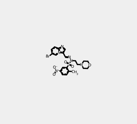 Cc1ccc([N+](=O)[O-])cc1S(=O)(=O)N(CCN1CCOCC1)N=Cc1cnc2ccc(Br)cn12